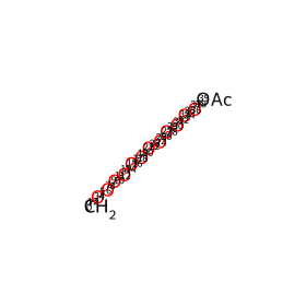 C=CCOCCOCCOCCOCCOCCOCCOCCOCCOCCOCCOCCOCCOC(C)=O